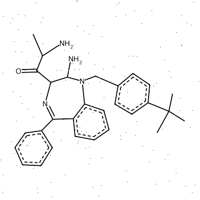 CC(N)C(=O)C1N=C(c2ccccc2)c2ccccc2N(Cc2ccc(C(C)(C)C)cc2)C1N